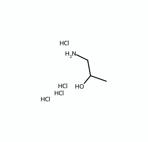 CC(O)CN.Cl.Cl.Cl.Cl